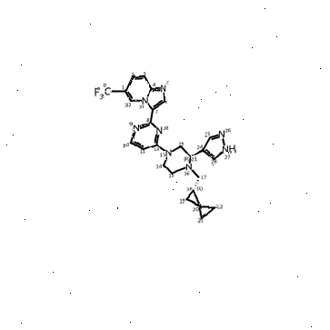 FC(F)(F)c1ccc2ncc(-c3nccc(N4CCN(C[C@H]5CC56CC6)[C@H](c5cn[nH]c5)C4)n3)n2c1